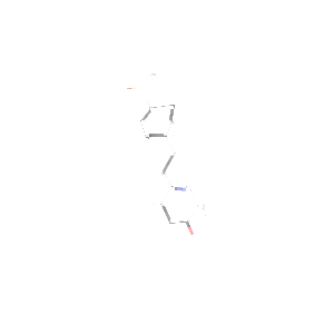 C[S+]([O-])c1ccc(C=Cc2ccc(=O)[nH]n2)cc1